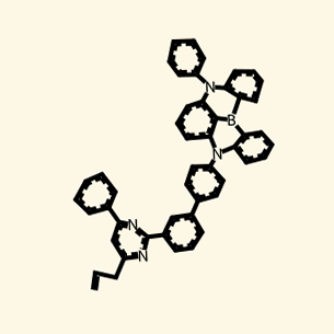 C=CCc1cc(-c2ccccc2)nc(-c2cccc(-c3ccc(N4c5ccccc5B5c6ccccc6N(c6ccccc6)c6cccc4c65)cc3)c2)n1